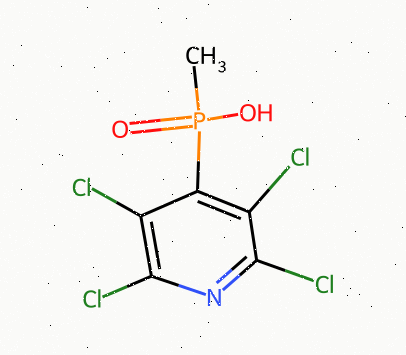 CP(=O)(O)c1c(Cl)c(Cl)nc(Cl)c1Cl